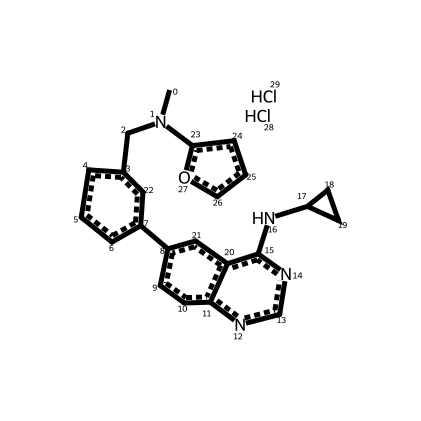 CN(Cc1cccc(-c2ccc3ncnc(NC4CC4)c3c2)c1)c1ccco1.Cl.Cl